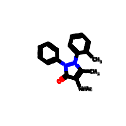 CC(=O)Nc1c(C)n(-c2ccccc2C)n(-c2ccccc2)c1=O